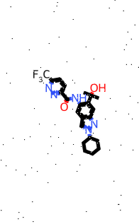 CC(C)(O)c1cc2nn(C3CCCCC3)cc2cc1NC(=O)c1ccc(C(F)(F)F)nn1